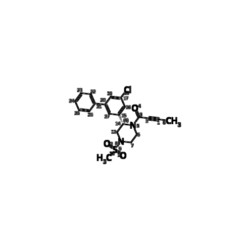 CC#CC(=O)N1CCN(S(C)(=O)=O)C[C@@H]1c1cc(Cl)cc(-c2ccccc2)c1